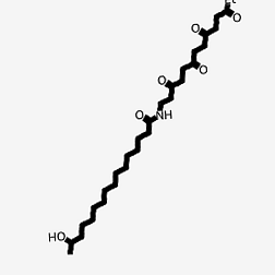 CCC(=O)CCC(=O)CCC(=O)CCC(=O)CCNC(=O)CCCCCCCCCCCCCC(C)O